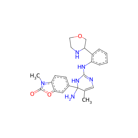 CC1=CN=C(Nc2ccccc2C2COCCN2)NC1(N)c1ccc2c(c1)oc(=O)n2C